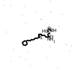 CCC(N)(CCc1ccc(CCCCCCC2CCCCC2)s1)CCP(=O)(O)O